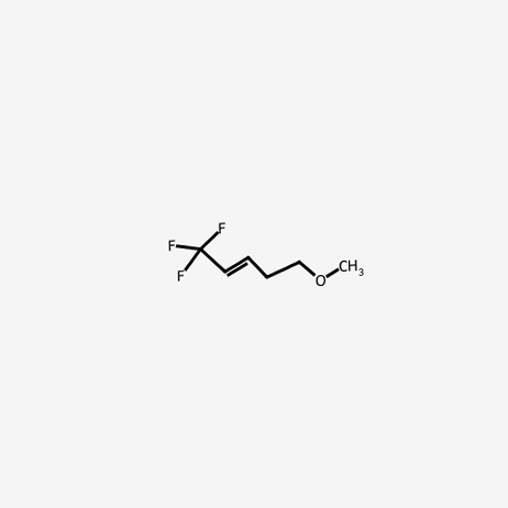 COCCC=CC(F)(F)F